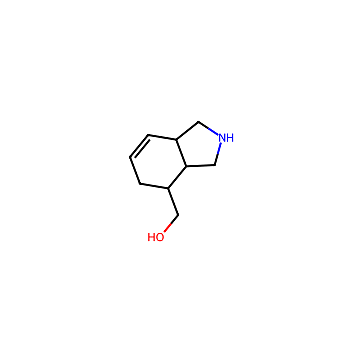 OCC1CC=CC2CNCC21